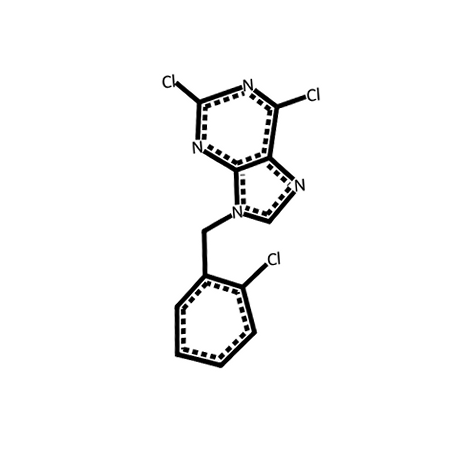 Clc1nc(Cl)c2ncn(Cc3ccccc3Cl)c2n1